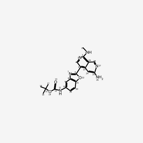 CNc1ncc(-c2nc3cc(NC(=O)OC(C)(C)C)ccc3o2)c2cc(N)ncc12